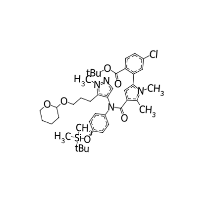 Cc1c(C(=O)N(c2ccc(O[Si](C)(C)C(C)(C)C)cc2)c2cnn(C)c2CCCOC2CCCCO2)cc(-c2cc(Cl)ccc2C(=O)OC(C)(C)C)n1C